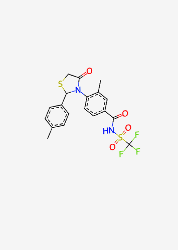 Cc1ccc(C2SCC(=O)N2c2ccc(C(=O)NS(=O)(=O)C(F)(F)F)cc2C)cc1